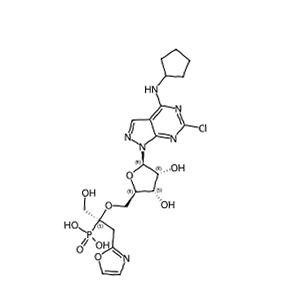 O=P(O)(O)[C@](CO)(Cc1ncco1)OC[C@H]1O[C@@H](n2ncc3c(NC4CCCC4)nc(Cl)nc32)[C@H](O)[C@@H]1O